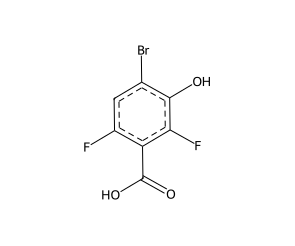 O=C(O)c1c(F)cc(Br)c(O)c1F